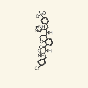 CS(=O)(=O)c1ccc(CC(NC2CCOc3c(C(=O)N[C@@H](Cc4ccc(Cl)cc4)C(N)=O)cccc32)c2cnc[nH]2)cc1